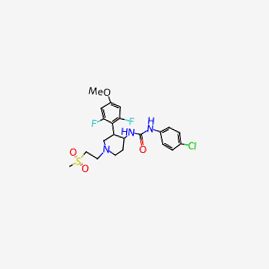 COc1cc(F)c(C2CN(CCS(C)(=O)=O)CCC2NC(=O)Nc2ccc(Cl)cc2)c(F)c1